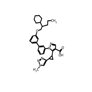 CCCC(COc1cccc(-c2cccc(-n3ncc(C(=O)O)c3C3CC3c3cn(C)nn3)c2)c1)C1CCCCC1